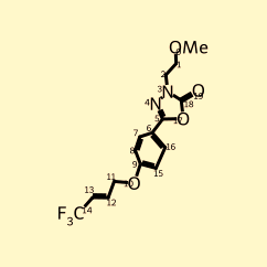 COCCn1nc(-c2ccc(OCC=CC(F)(F)F)cc2)oc1=O